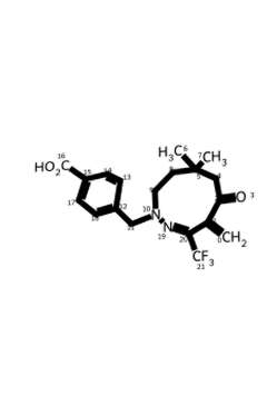 C=C1C(=O)CC(C)(C)CCN(Cc2ccc(C(=O)O)cc2)/N=C\1C(F)(F)F